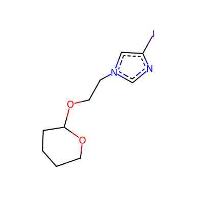 Ic1cn(CCOC2CCCCO2)cn1